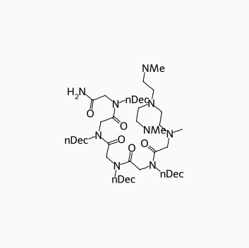 CCCCCCCCCCN(CC(N)=O)C(=O)CN(CCCCCCCCCC)C(=O)CN(CCCCCCCCCC)C(=O)CN(CCCCCCCCCC)C(=O)CN(C)CCN(CCNC)CCNC